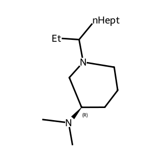 CCCCCCCC(CC)N1CCC[C@@H](N(C)C)C1